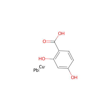 O=C(O)c1ccc(O)cc1O.[Cu].[Pb]